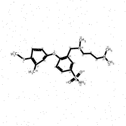 CSc1ccc(Oc2ccc(S(N)(=O)=O)cc2CN(C)CCCN(C)C)cc1C